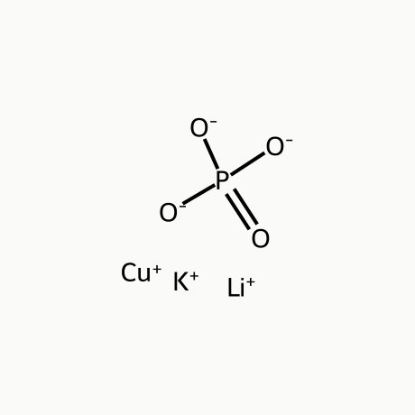 O=P([O-])([O-])[O-].[Cu+].[K+].[Li+]